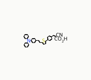 N#CC(=Cc1ccc(-c2ccc(C=Cc3ccc(N(c4ccccc4)c4ccccc4)cc3)s2)cc1)C(=O)O